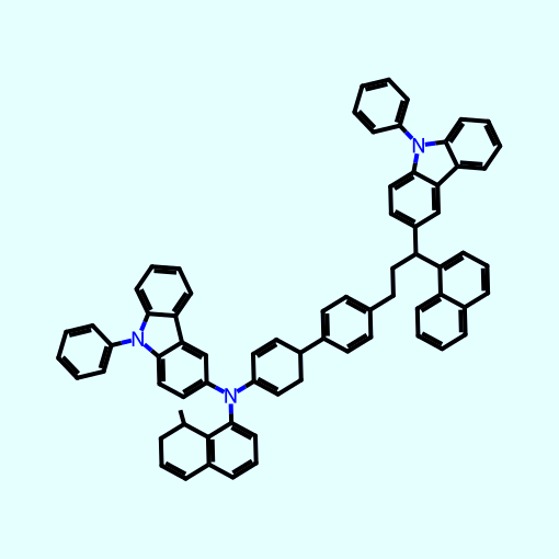 CC1CC=Cc2cccc(N(C3=CCC(c4ccc(CCC(c5ccc6c(c5)c5ccccc5n6-c5ccccc5)c5cccc6ccccc56)cc4)C=C3)c3ccc4c(c3)c3ccccc3n4-c3ccccc3)c21